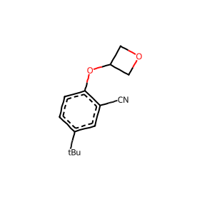 CC(C)(C)c1ccc(OC2COC2)c(C#N)c1